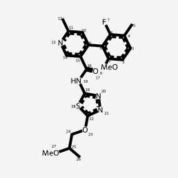 COc1ccc(C)c(F)c1-c1cc(C)ncc1C(=O)Nc1nnc(OCC(C)OC)s1